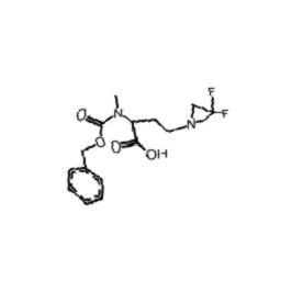 CN(C(=O)OCc1ccccc1)C(CCN1CC(F)(F)C1)C(=O)O